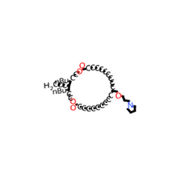 C=C=C=C1C(CCCC)CCOC(=O)CCCCCCCCCC(COCCCN2CCCC2)CCCCCCCCCC(=O)OCCC1CCCC